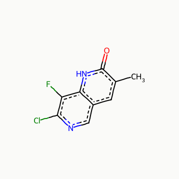 Cc1cc2cnc(Cl)c(F)c2[nH]c1=O